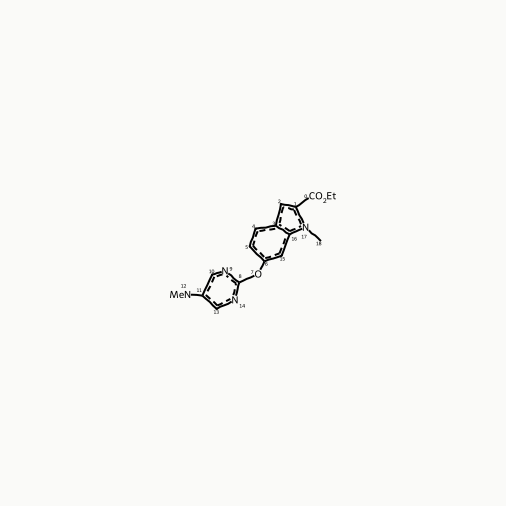 CCOC(=O)c1cc2ccc(Oc3ncc(NC)cn3)cc2n1C